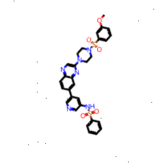 COc1cccc(S(=O)(=O)N2CCN(c3cnc4ccc(-c5cncc(NS(=O)(=O)c6ccccc6)c5)cc4n3)CC2)c1